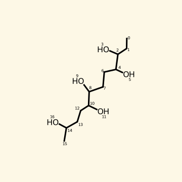 CCC(O)C(O)CCC(O)C(O)CCC(C)O